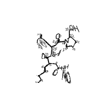 CCCCCC(CC(=O)NN=O)C(=O)NC(C(=O)N1CCCC1CO)C(C)C